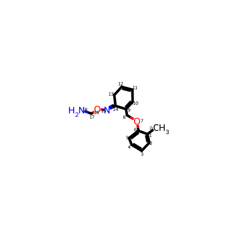 Cc1ccccc1OCC1=[C]C=CCC1=NOCN